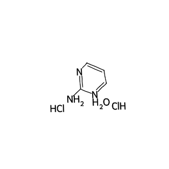 Cl.Cl.Nc1ncccn1.O